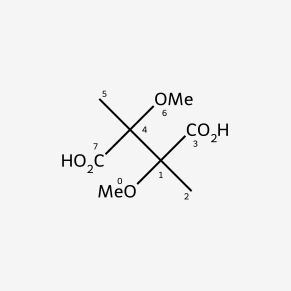 COC(C)(C(=O)O)C(C)(OC)C(=O)O